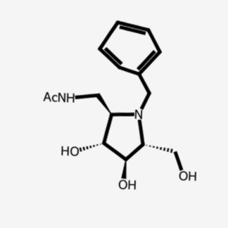 CC(=O)NC[C@@H]1[C@@H](O)[C@H](O)[C@@H](CO)N1Cc1ccccc1